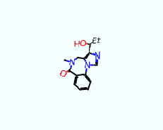 CCC(O)c1ncn2c1CN(C)C(=O)c1ccccc1-2